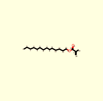 [CH2]CCCCCCCCCCCC[CH]OC(=O)C(=C)C